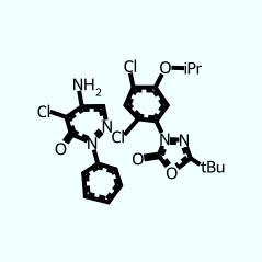 CC(C)Oc1cc(-n2nc(C(C)(C)C)oc2=O)c(Cl)cc1Cl.Nc1cnn(-c2ccccc2)c(=O)c1Cl